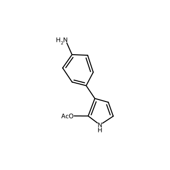 CC(=O)Oc1[nH]ccc1-c1ccc(N)cc1